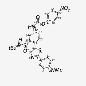 CNc1ccc(-c2ncc(-c3ccc(NC(=O)Oc4ccc([N+](=O)[O-])cc4)cc3[S+]([O-])NC(C)(C)C)s2)cc1